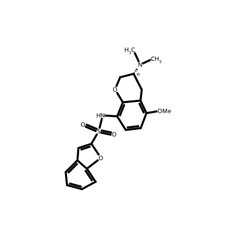 COc1ccc(NS(=O)(=O)c2cc3ccccc3o2)c2c1C[C@@H](N(C)C)CO2